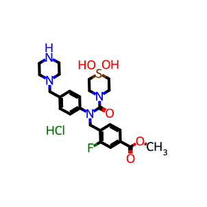 COC(=O)c1ccc(CN(C(=O)N2CCS(O)(O)CC2)c2ccc(CN3CCNCC3)cc2)c(F)c1.Cl